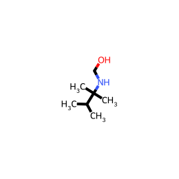 CC(C)C(C)(C)NCO